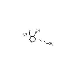 C#Cc1c(CCCCC)cccc1C(N)=O